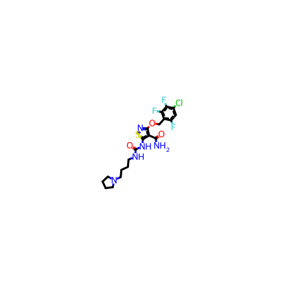 NC(=O)c1c(OCc2c(F)cc(Cl)c(F)c2F)nsc1NC(=O)NCCCCN1CCCC1